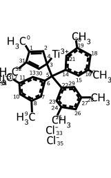 CC1=C[C]([Ti+3])(C(c2cc(C)cc(C)c2)(c2cc(C)cc(C)c2)c2cc(C)cc(C)c2)C=C1C.[Cl-].[Cl-].[Cl-]